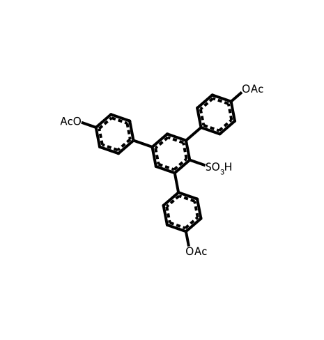 CC(=O)Oc1ccc(-c2cc(-c3ccc(OC(C)=O)cc3)c(S(=O)(=O)O)c(-c3ccc(OC(C)=O)cc3)c2)cc1